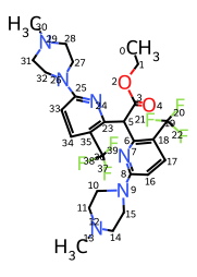 CCOC(=O)C(c1nc(N2CCN(C)CC2)ccc1C(F)(F)F)c1nc(N2CCN(C)CC2)ccc1C(F)(F)F